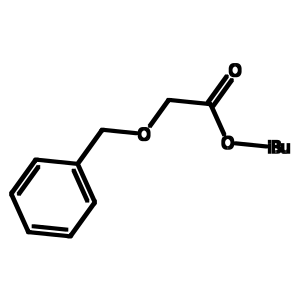 CCC(C)OC(=O)COCc1ccccc1